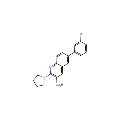 CC(C)c1cccc(-c2ccc3nc(N4CCCC4)c(C(=O)O)cc3c2)c1